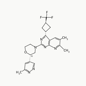 Cc1cc([C@H]2CN(c3nc4nc(C)c(C)cc4c([C@H]4C[C@H](C(F)(F)F)C4)n3)CCO2)cnn1